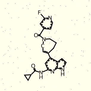 O=C(Nc1cc(C2=CCN(C(=O)c3ccnc(F)c3)CCC2)c2cc[nH]c2n1)C1CC1